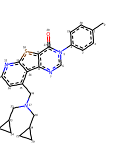 Cc1ccc(-n2cnc3c(sc4nccc(CN(CC5CC5)CC5CC5)c43)c2=O)cc1